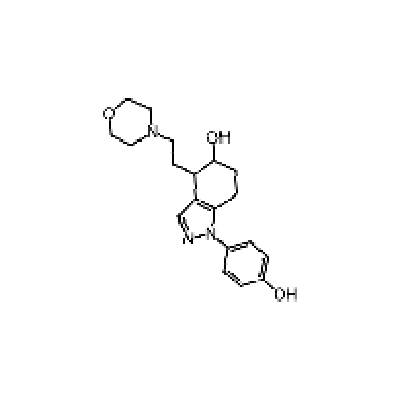 Oc1ccc(-n2ncc3c2CCC(O)C3CCN2CCOCC2)cc1